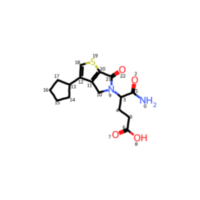 NC(=O)C(CCC(=O)O)N1Cc2c(C3CCCC3)csc2C1=O